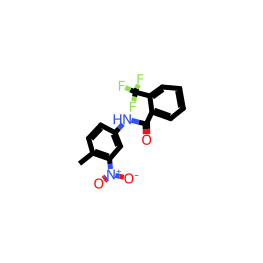 Cc1ccc(NC(=O)c2ccccc2C(F)(F)F)cc1[N+](=O)[O-]